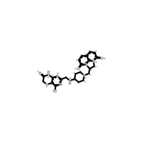 O=C1COc2c(Cl)nc(CNC3CCN(CC4Cn5c(=O)ccc6ccc(=O)n4c65)CC3)nc2N1